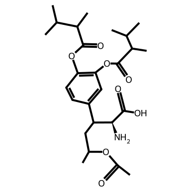 CC(=O)OC(C)CC(c1ccc(OC(=O)C(C)C(C)C)c(OC(=O)C(C)C(C)C)c1)[C@H](N)C(=O)O